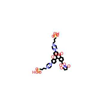 O=C(ON1C(=O)CCC1=O)c1ccc(C(=O)O)c(-c2c3ccc(=[N+]4CCN(CCCCS(=O)(=O)O)CC4)cc-3oc3cc(N4CCN(CCCCS(=O)(=O)O)CC4)ccc23)c1